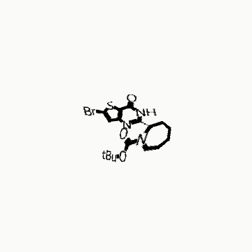 CC(C)(C)OC(=O)N1CCCCC[C@H]1c1nc2cc(Br)sc2c(=O)[nH]1